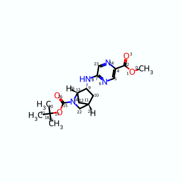 COC(=O)c1cnc(N[C@@H]2C[C@H]3C[C@@H]2N(C(=O)OC(C)(C)C)C3)cn1